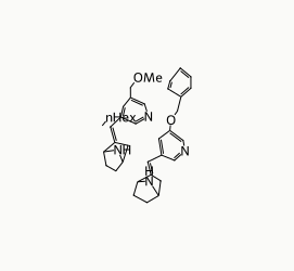 C(=C1CC2CCC1N2)c1cncc(OCc2ccccc2)c1.CCCCCCC.COCc1cncc(C=C2CC3CCC2N3)c1